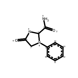 NC(=O)C1[N]C(=O)CN1c1ccccc1